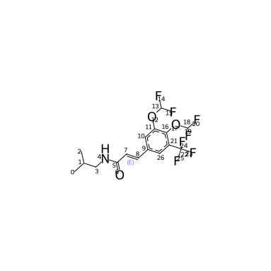 CC(C)CNC(=O)/C=C/c1cc(OC(F)F)c(OC(F)F)c(C(F)(F)F)c1